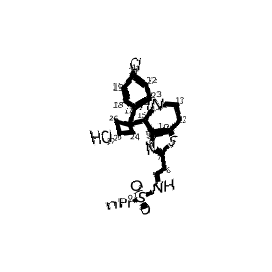 CCCS(=O)(=O)NCCc1nc2c(s1)CCNC2C1(c2ccc(Cl)cc2)CCC1.Cl